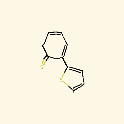 S=C1CC=CC=C1c1cc[c]s1